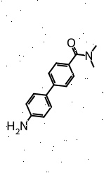 CN(C)C(=O)c1ccc(-c2ccc(N)cc2)cc1